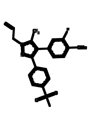 C=CCn1nc(-c2ccc(S(C)(=O)=O)cc2)c(-c2ccc(OC)c(F)c2)c1C(F)(F)F